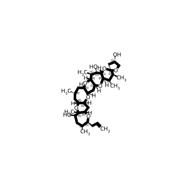 C=CC[C@@H]1O[C@@H]2C[C@@H]3O[C@@H]4C[C@@H]5O[C@@H]6[C@@H](C)[C@H](C)[C@@]7(C[C@H](O)CO7)O[C@H]6[C@@H](O)[C@H](C)[C@H]5O[C@H]4C[C@@H](C)C[C@H]3O[C@@]2(C)[C@H](O)C[C@H]1C